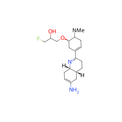 CNC1CC=C(C2=N[C@H]3CC=C(N)C[C@H]3CC2)C[C@H]1OCC(O)CF